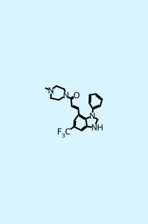 CN1CCN(C(=O)C=Cc2cc(C(F)(F)F)cc3c2N(c2ccccc2)CN3)CC1